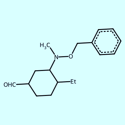 CCC1CCC(C=O)CC1N(C)OCc1ccccc1